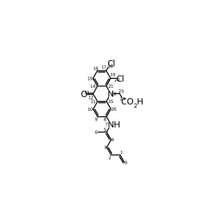 C=C/C=C\C=C(/C)Nc1ccc2c(=O)c3ccc(Cl)c(Cl)c3n(CC(=O)O)c2c1